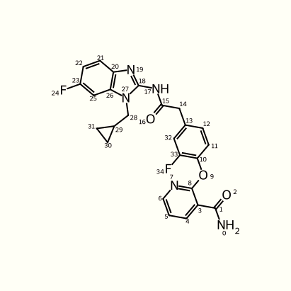 NC(=O)c1cccnc1Oc1ccc(CC(=O)Nc2nc3ccc(F)cc3n2CC2CC2)cc1F